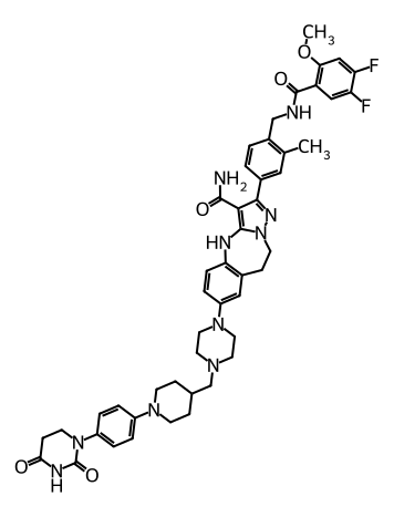 COc1cc(F)c(F)cc1C(=O)NCc1ccc(-c2nn3c(c2C(N)=O)Nc2ccc(N4CCN(CC5CCN(c6ccc(N7CCC(=O)NC7=O)cc6)CC5)CC4)cc2CC3)cc1C